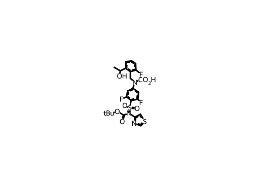 CC(O)c1cccc(F)c1CN(C(=O)O)c1cc(F)c(S(=O)(=O)N(C(=O)OC(C)(C)C)c2cscn2)c(F)c1